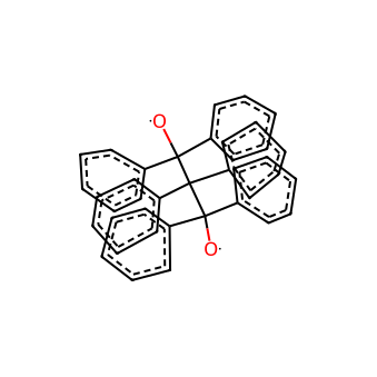 [O]C(c1ccccc1)(c1ccccc1)C(c1ccccc1)(c1ccccc1)C([O])(c1ccccc1)c1ccccc1